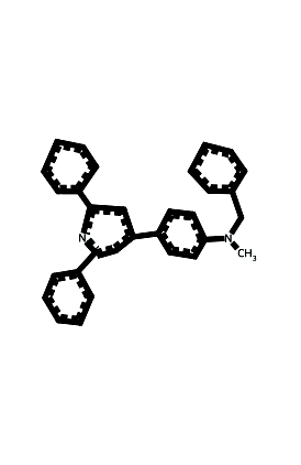 CN(Cc1ccccc1)c1ccc(-c2cc(-c3ccccc3)nc(-c3ccccc3)c2)cc1